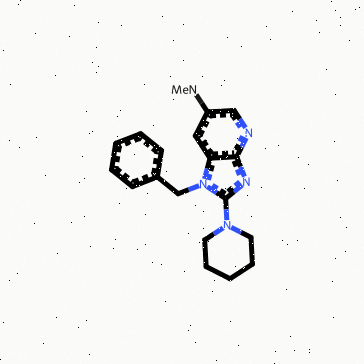 CNc1cnc2nc(N3CCCCC3)n(Cc3ccccc3)c2c1